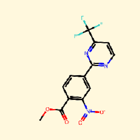 COC(=O)c1ccc(-c2nccc(C(F)(F)F)n2)cc1[N+](=O)[O-]